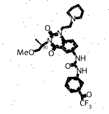 COC[C@@H](C)n1c(=O)c2cc(NC(=O)Nc3cccc(C(=O)C(F)(F)F)c3)ccc2n(CCN2CCCCC2)c1=O